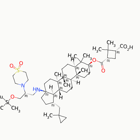 CC1(C[C@@H]2CC[C@]3(NC[C@H](CO[Si](C)(C)C(C)(C)C)N4CCS(=O)(=O)CC4)CC[C@]4(C)[C@H](CC[C@@H]5[C@@]6(C)CC[C@H](OC(=O)[C@H]7C[C@@H](C(=O)O)C7(C)C)C(C)(C)[C@@H]6CC[C@]54C)[C@@H]23)CC1